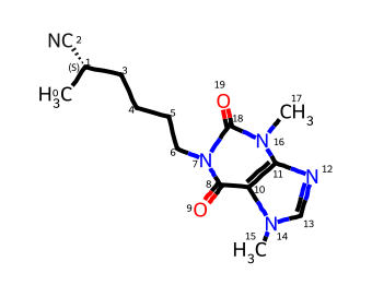 C[C@H](C#N)CCCCn1c(=O)c2c(ncn2C)n(C)c1=O